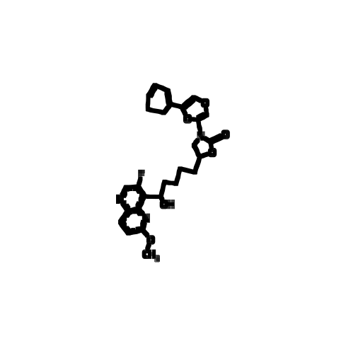 COc1ccc2ncc(F)c(C(O)CCCCC3CN(C4=COC=C(C5=CC=CCC5)O4)C(=O)O3)c2n1